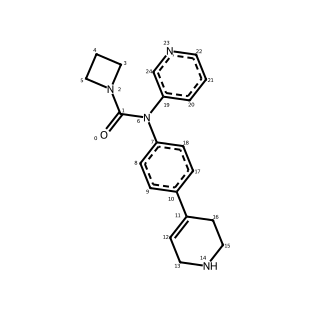 O=C(N1CCC1)N(c1ccc(C2=CCNCC2)cc1)c1cccnc1